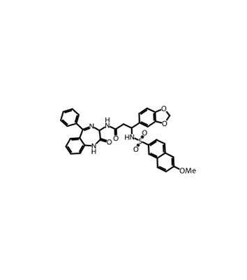 COc1ccc2cc(S(=O)(=O)NC(CC(=O)NC3N=C(c4ccccc4)c4ccccc4NC3=O)c3ccc4c(c3)OCO4)ccc2c1